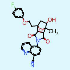 CC12OC(CCOc3ccc(F)cc3)(CC1O)C1C(=O)N(c3ccc(C#N)c4ncccc34)C(=O)C12